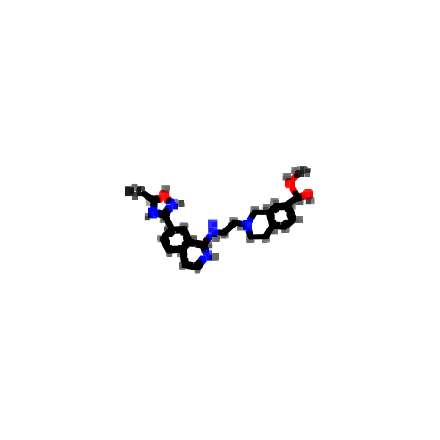 Cc1nc(-c2ccc3ccnc(NCCN4CCc5ccc(C(=O)OC(C)C)cc5C4)c3c2)no1